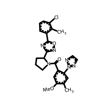 COc1cc(C(=O)N2CCCC2c2noc(-c3cccc(Cl)c3C)n2)c(-n2nccn2)cc1C